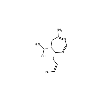 CC/C=C\C[C@H]1N=CN=C(N)C[C@H]1C(N)O